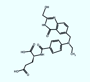 CCN(Cc1ccc2nc(CO)[nH]c(=O)c2c1)c1ccc(C(=O)N[C@@H](CCC(=O)O)C(=O)O)cc1